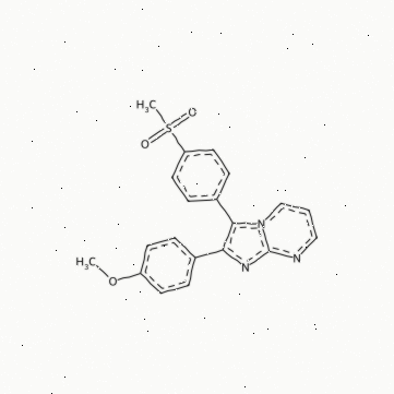 COc1ccc(-c2nc3ncccn3c2-c2ccc(S(C)(=O)=O)cc2)cc1